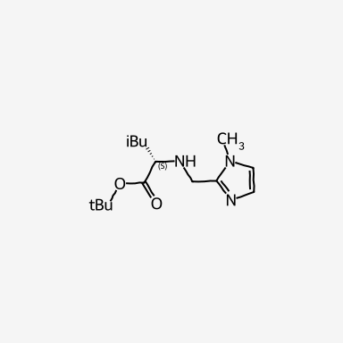 CCC(C)[C@H](NCc1nccn1C)C(=O)OC(C)(C)C